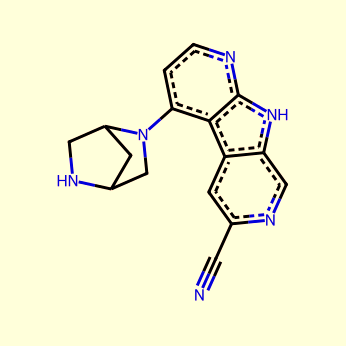 N#Cc1cc2c(cn1)[nH]c1nccc(N3CC4CC3CN4)c12